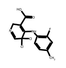 Cc1ccc(NC2=C(C(=O)O)CN=CC2(Cl)Cl)c(F)c1